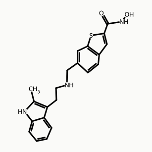 Cc1[nH]c2ccccc2c1CCNCc1ccc2cc(C(=O)NO)sc2c1